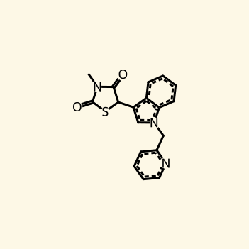 CN1C(=O)SC(c2cn(Cc3ccccn3)c3ccccc23)C1=O